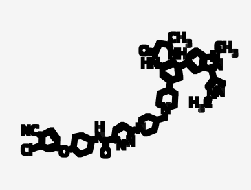 C[C@@H]1CC(=O)Nc2cc(C3CCN(CC4CCN(c5ccc(C(=O)NC6CCC(Oc7ccc(C#N)c(Cl)c7)CC6)nn5)CC4)CC3)cc(-c3ccc4c(c3)c(-c3cnn(C)c3)nn4C)c2N1